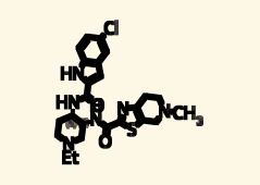 CCN1CC[C@H](NC(=O)c2cc3cc(Cl)ccc3[nH]2)[C@H](NC(=O)c2nc3c(s2)CN(C)CC3)C1